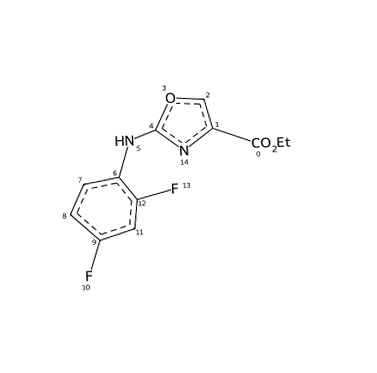 CCOC(=O)c1coc(Nc2ccc(F)cc2F)n1